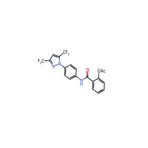 CC(=O)Oc1ccccc1C(=O)Nc1ccc(-n2nc(C(F)(F)F)cc2C(F)(F)F)cc1